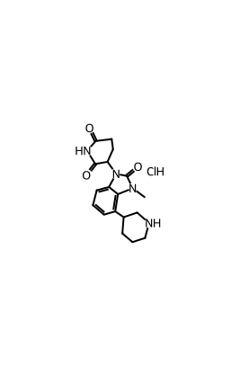 Cl.Cn1c(=O)n(C2CCC(=O)NC2=O)c2cccc(C3CCCNC3)c21